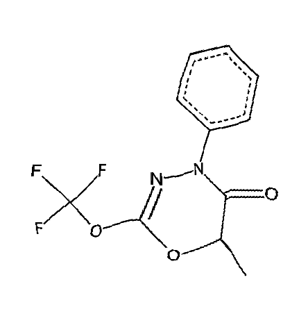 CC1OC(OC(F)(F)F)=NN(c2ccccc2)C1=O